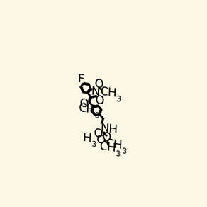 COC(=C1C(=O)N(C(C)=O)c2cc(F)ccc21)c1ccc(CCNC(=O)OC(C)(C)C)cc1